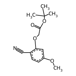 COc1ccc(C#N)c(OCC(=O)OC(C)(C)C)c1